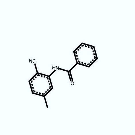 Cc1ccc(C#N)c(NC(=O)c2ccccc2)c1